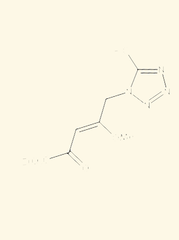 CCOC(=O)C(=O)/C=C(/Cn1nnnc1C(F)(F)F)OC